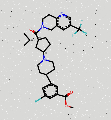 COC(=O)c1cc(F)cc(C2CCN([C@@H]3CC[C@@](C(=O)N4CCc5ncc(C(F)(F)F)cc5C4)(C(C)C)C3)CC2)c1